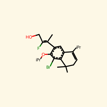 CC(=C(F)CO)c1cc2c(c(Br)c1OC(C)C)C(C)(C)CC=C2C(C)C